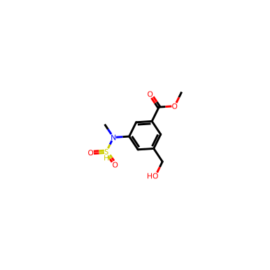 COC(=O)c1cc(CO)cc(N(C)[SH](=O)=O)c1